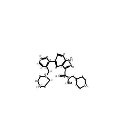 CC(C)(C)N(CC1CCOCC1)C(=O)c1n[nH]c2ccc(-c3cnccc3CN3CCNCC3)cc12